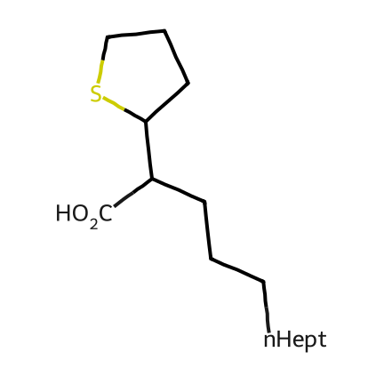 CCCCCCCCCCC(C(=O)O)C1CCCS1